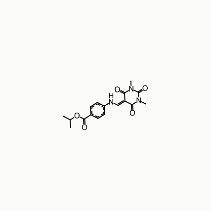 CC(C)OC(=O)c1ccc(NC=C2C(=O)N(C)C(=O)N(C)C2=O)cc1